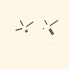 C[As](=O)([O-])[O-].C[As](=O)([O-])[O-].[Fe+3].[NH4+]